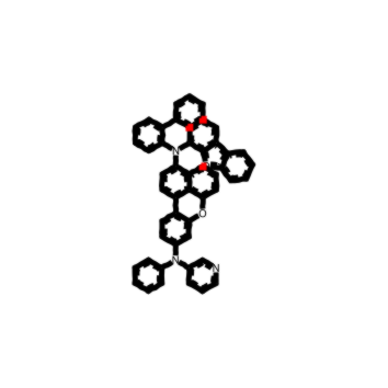 c1ccc(-c2ccccc2N(c2ccc3c4c(cccc24)Oc2cc(N(c4ccccc4)c4cccnc4)ccc2-3)c2cccc3c2oc2ccccc23)cc1